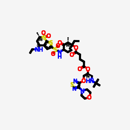 CCN[C@H]1C[C@H](C)S(=O)(=O)c2sc(S(=O)(=O)NC(CC)C(=O)[C@H](C)C(C)(CC)OC(=O)CCCC(=O)O[C@@H](CNC(C)(C)C)COc3nsnc3N3CCOCC3)cc21